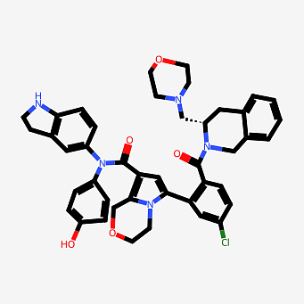 O=C(c1cc(-c2cc(Cl)ccc2C(=O)N2Cc3ccccc3C[C@H]2CN2CCOCC2)n2c1COCC2)N(c1ccc(O)cc1)c1ccc2c(c1)CCN2